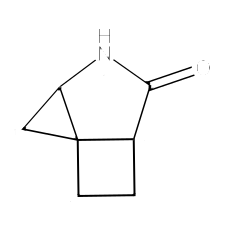 O=C1NC2CC23CCC13